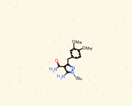 COc1ccc(Cc2nn(C(C)(C)C)c(N)c2C(N)=O)cc1OC